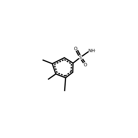 Cc1cc(S([NH])(=O)=O)cc(C)c1C